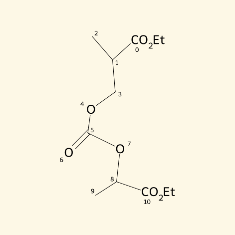 CCOC(=O)C(C)COC(=O)OC(C)C(=O)OCC